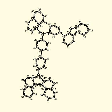 c1cc(-c2cccc3c2sc2ccccc23)cc(N(c2ccc(-c3ccc(-n4c5ccc6ccccc6c5c5c6ccccc6ccc54)cc3)cc2)c2cccc3ccccc23)c1